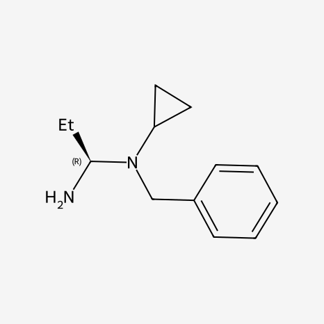 CC[C@H](N)N(Cc1ccccc1)C1CC1